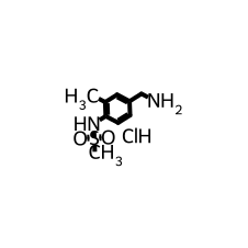 Cc1cc(CN)ccc1NS(C)(=O)=O.Cl